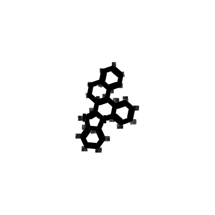 c1ccc2c(c1)CCc1c-2c2ccccc2n2c1nc1ccccc12